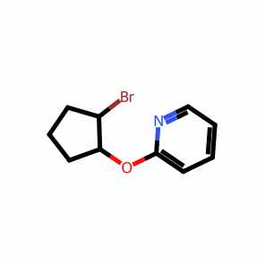 BrC1CCCC1Oc1ccccn1